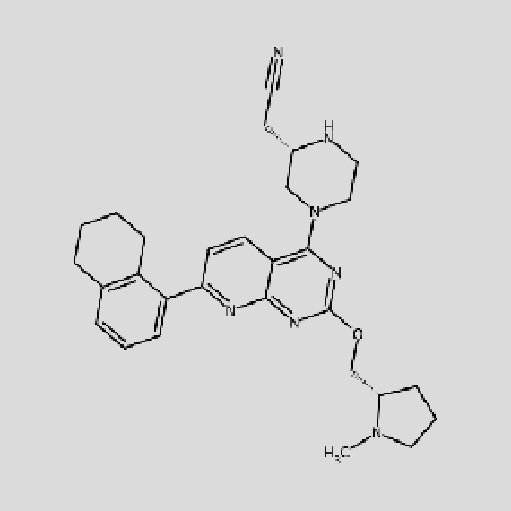 CN1CCC[C@H]1COc1nc(N2CCN[C@@H](CC#N)C2)c2ccc(-c3cccc4c3CCCC4)nc2n1